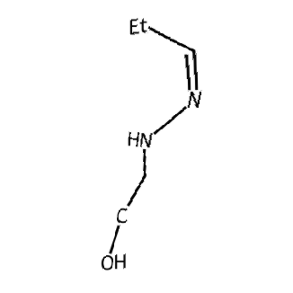 CC/C=N\NCCO